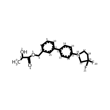 CC(O)C(=O)OCc1cccc(-c2ccc(N3CCC(F)(F)C3)cc2)c1